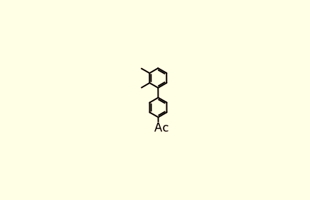 CC(=O)c1ccc(-c2cccc(C)c2C)cc1